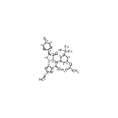 C#Cc1nc(C(=O)N(c2cc(OC(C)C)cc(C(F)(F)F)c2)C2CCN(c3ncc(F)cn3)C2=O)cs1